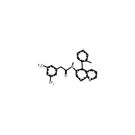 Cc1ccccc1-c1c(N(C)C(=O)Cc2cc(C(F)(F)F)cc(C(F)(F)F)c2)ccc2ncccc12